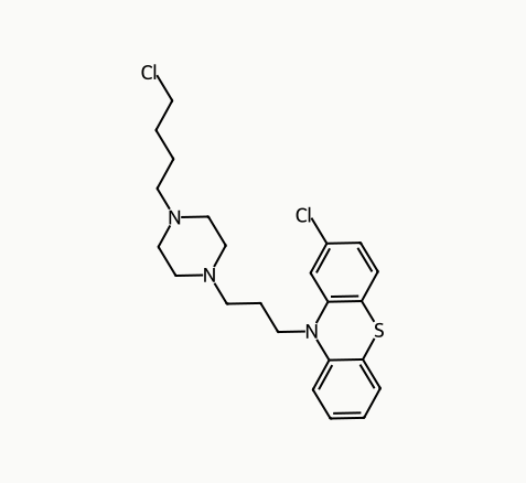 ClCCCCN1CCN(CCCN2c3ccccc3Sc3ccc(Cl)cc32)CC1